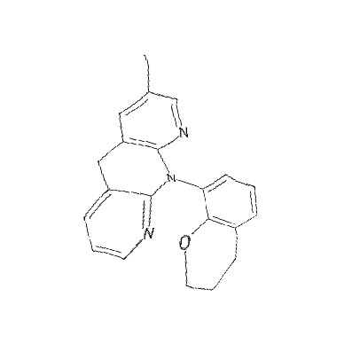 Cc1cnc2c(c1)Cc1cccnc1N2c1cccc2c1OCCC2